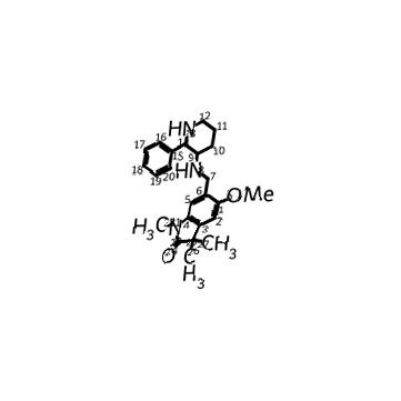 COc1cc2c(cc1CNC1CCCNC1c1ccccc1)N(C)C(=O)C2(C)C